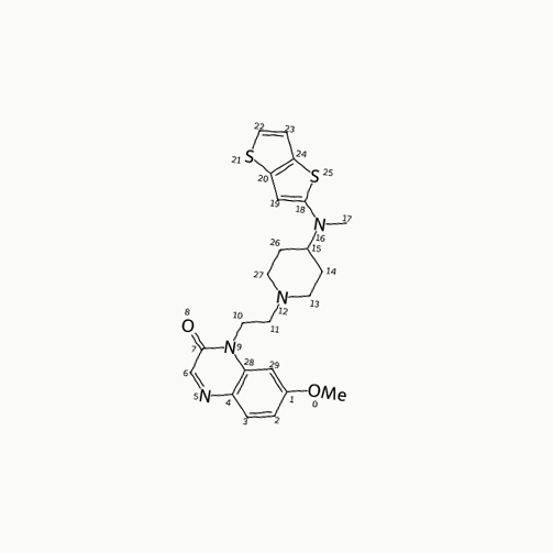 COc1ccc2ncc(=O)n(CCN3CCC(N(C)c4cc5sccc5s4)CC3)c2c1